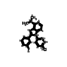 CN(C)c1ncnc2c1nc(-c1cccc(F)c1)n2-c1ccc(Cl)nn1